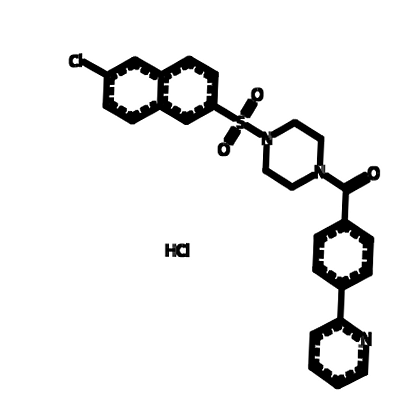 Cl.O=C(c1ccc(-c2ccccn2)cc1)N1CCN(S(=O)(=O)c2ccc3cc(Cl)ccc3c2)CC1